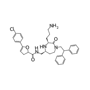 NCCC[C@@H]1N[C@H](CNC(=O)C2CC=C(c3ccc(Cl)cc3)O2)CCN(CC(c2ccccc2)c2ccccc2)C1=O